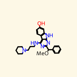 COC(c1ccccc1)c1nc(NCCCN2CCCCC2)c2c(n1)[nH]c1cc(O)ccc12